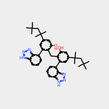 CC(C)(C)CC(C)(C)c1cc(O)c(Cc2c(O)cc(C(C)(C)CC(C)(C)C)cc2-c2cccc3[nH]nnc23)c(-c2cccc3[nH]nnc23)c1